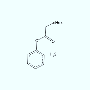 CCCCCCCC(=O)Oc1ccccc1.S